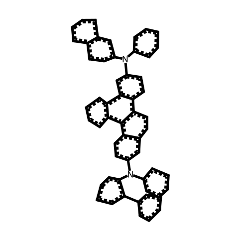 c1ccc(-c2ccccc2N(c2ccccc2)c2ccc3c(ccc4c5ccc(N(c6ccccc6)c6ccc7ccccc7c6)cc5c5ccccc5c34)c2)cc1